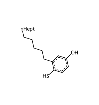 CCCCCCCCCCCCc1cc(O)ccc1S